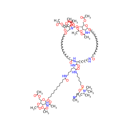 C/N=C/CCOP(OCCCCCCNC(=O)C(CCCCNC(=O)CCCCCCCCCCCOC1OC(COC(C)=O)C(OC(C)=O)C(OC(C)=O)C1NC(C)=O)NC(=O)C1CCCCNC(=O)CCCCCCCCCCCOC2OC(COC(C)=O)C(OC(=O)N(C(C)=O)C3C(OCCCCCCCCCCCC(=O)N1)OC(COC(C)=O)C(OC(C)=O)C3OC(C)=O)C(OC(C)=O)C2NC(C)=O)N(C(C)C)C(C)C